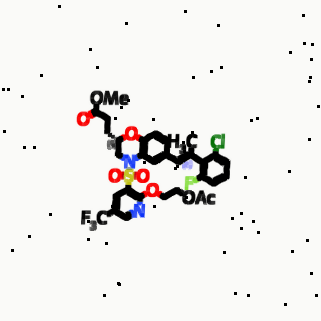 COC(=O)CC[C@H]1CN(S(=O)(=O)c2cc(C(F)(F)F)cnc2OCCOC(C)=O)c2cc(/C=C(\C)c3c(F)cccc3Cl)ccc2O1